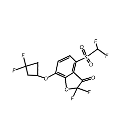 O=C1c2c(S(=O)(=O)C(F)F)ccc(OC3CC(F)(F)C3)c2OC1(F)F